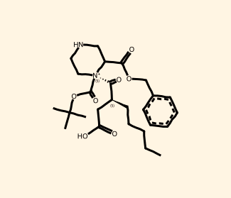 CCCCC[C@@H](CC(=O)O)C(=O)[N@+]1(C(=O)OC(C)(C)C)CCNCC1C(=O)OCc1ccccc1